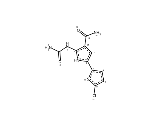 NC(=O)Nc1[nH]c(-c2ccc(Cl)s2)cc1C(N)=O